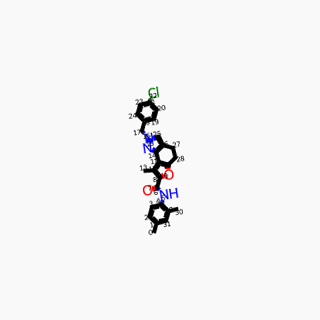 Cc1ccc(NC(=O)c2oc3c(c2C)-c2nn(Cc4ccc(Cl)cc4)cc2CC3)c(C)c1